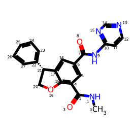 CNC(=O)c1cc(C(=O)Nc2ccncn2)cc2c1OC[C@@H]2c1ccccc1